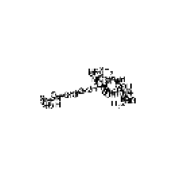 Nc1nc2c(ncn2[C@@H]2O[C@@H]3COP(=O)(O)OC4[C@@H](COP(=O)(O)O[C@@H]3C2CC(=O)CCOCCOCCOCCOCCNC(=O)CCN2C(=O)C=CC2=O)O[C@@H](n2cnc3c(=O)[nH]c(N)nc32)[C@H]4O)c(=O)[nH]1